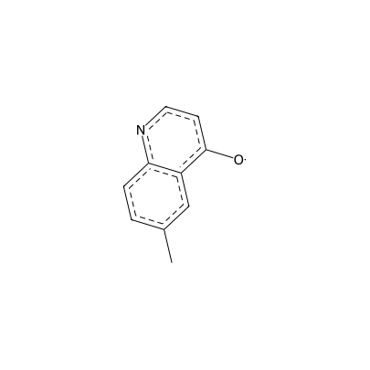 Cc1ccc2nccc([O])c2c1